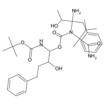 CC(O)C(N)(Cc1ccccc1)N(C(=O)OC(NC(=O)OC(C)(C)C)C(O)CCc1ccccc1)C(C)(C(N)=O)C(C)C